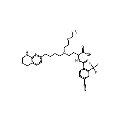 CCOCCN(CCCCc1ccc2c(n1)NCCC2)CCC(NC(=O)c1ccc(C#N)cc1C(F)(F)F)C(=O)O